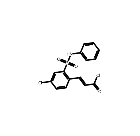 O=C(Cl)C=Cc1ccc(Cl)cc1S(=O)(=O)Nc1ccccc1